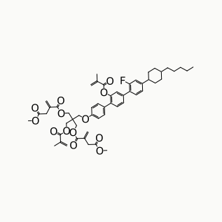 C=C(C)C(=O)OCC(COC(=O)C(=C)CC(=O)OC)(COC(=O)C(=C)CC(=O)OC)COc1ccc(-c2ccc(-c3ccc(C4CCC(CCCCC)CC4)cc3F)cc2OC(=O)C(=C)C)cc1